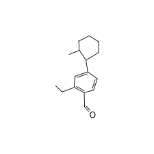 CCc1cc(C2CCCCC2C)ccc1C=O